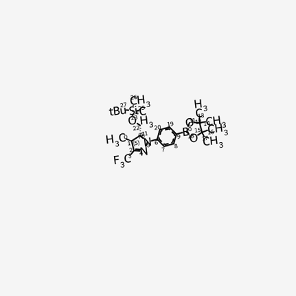 C[C@@H]1C(C(F)(F)F)=NN(c2ccc(B3OC(C)(C)C(C)(C)O3)cc2)[C@H]1CO[Si](C)(C)C(C)(C)C